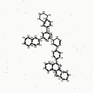 C1=CC(c2ccc(-c3nc4c(nc5ccccn54)c4ccccc34)cc2)=CC(c2nc(-c3ccc4c(c3)CCCC4)cc(-c3ccc4ccccc4c3)n2)C1